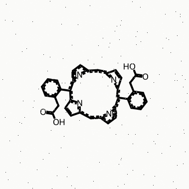 O=C(O)Cc1ccccc1-c1c2nc(cc3ccc([nH]3)c(-c3ccccc3CC(=O)O)c3nc(cc4ccc1[nH]4)C=C3)C=C2